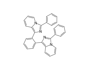 c1ccc(-c2nc(-c3ccccc3-c3nc(-c4ccccc4)n4ccccc34)c3ccccn23)cc1